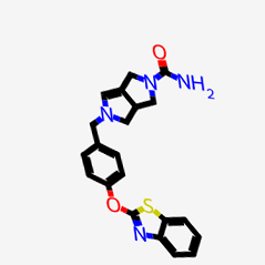 NC(=O)N1CC2=CN(Cc3ccc(Oc4nc5ccccc5s4)cc3)CC2C1